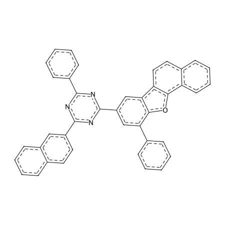 c1ccc(-c2nc(-c3ccc4ccccc4c3)nc(-c3cc(-c4ccccc4)c4oc5c6ccccc6ccc5c4c3)n2)cc1